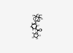 CC1(C)OC(c2cccc(C(=O)N3CCCC3)c2)OC1(C)C